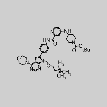 CC(C)(C)OC(=O)N1CCC(Nc2ccnc(C(=O)Nc3ccc(-c4cc5c(N6CCOCC6)ncnc5n4COCC[Si](C)(C)C)cc3)c2)CC1